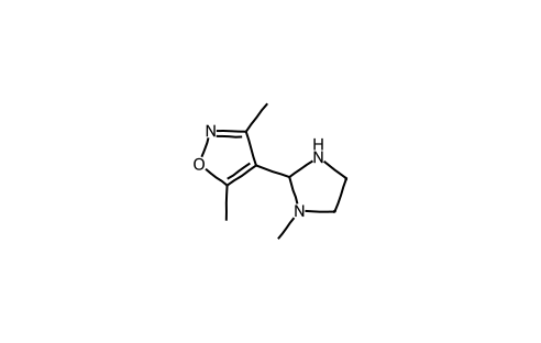 Cc1noc(C)c1C1NCCN1C